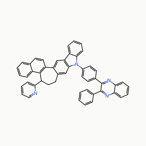 c1ccc(-c2nc3ccccc3nc2-c2ccc(-n3c4ccccc4c4cc5c(cc43)CCC(c3ccccn3)c3c-5ccc4ccccc34)cc2)cc1